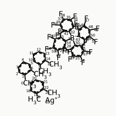 Cc1ccccc1C.Cc1ccccc1C.Cc1ccccc1C.Fc1c(F)c(F)c([B-](c2c(F)c(F)c(F)c(F)c2F)(c2c(F)c(F)c(F)c(F)c2F)c2c(F)c(F)c(F)c(F)c2F)c(F)c1F.[Ag+]